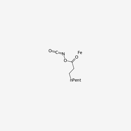 CCCCCCCC(=O)ON=C=O.[Fe]